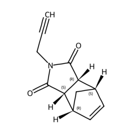 C#CCN1C(=O)[C@@H]2[C@H](C1=O)[C@@H]1C=C[C@H]2C1